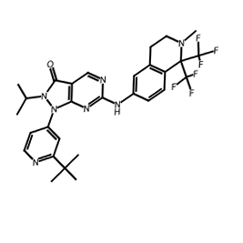 CC(C)n1c(=O)c2cnc(Nc3ccc4c(c3)CCN(C)C4(C(F)(F)F)C(F)(F)F)nc2n1-c1ccnc(C(C)(C)C)c1